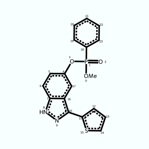 COP(=O)(Oc1ccc2[nH]nc(-c3cccs3)c2c1)c1ccccc1